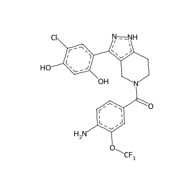 Nc1ccc(C(=O)N2CCc3[nH]nc(-c4cc(Cl)c(O)cc4O)c3C2)cc1OC(F)(F)F